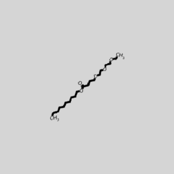 CCCCCCCCCCOC(=O)CCCOCCOCCOCC